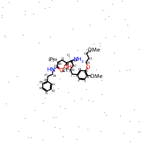 CC[C@@H](Cc1ccc(OC)c(OCCCOC)c1)C[C@](C)(N)[C@@H](O)C[C@H](C(=O)NCCc1ccccc1)C(C)C